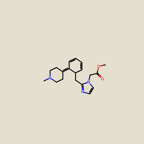 COC(=O)Cn1ccnc1CC1C=CC=CC1=C1CCN(C)CC1